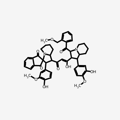 COCc1ccccc1C(=O)C1C(/C(O)=C/C(=O)C2C3CCCCN3C3(C(=O)c4ccccc4C3=O)C2c2ccc(O)c(OC)c2)C(c2ccc(OC)c(O)c2)C2CCCCN21